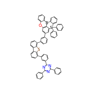 c1ccc(-c2nc(-c3ccccc3)nc(-c3cccc(-c4cccc5c4sc4c(-c6cccc(-c7cc8c9c(c7)[Si](c7ccccc7)(c7ccccc7)c7ccccc7B9c7ccccc7O8)c6)cccc45)c3)n2)cc1